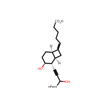 CCCCCC(O)C#C[C@H]1[C@@H]2C/C(=C/CCCC(=O)O)[C@@H]2CC[C@@H]1O